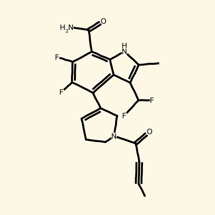 CC#CC(=O)N1CCC=C(c2c(F)c(F)c(C(N)=O)c3[nH]c(C)c(C(F)F)c23)C1